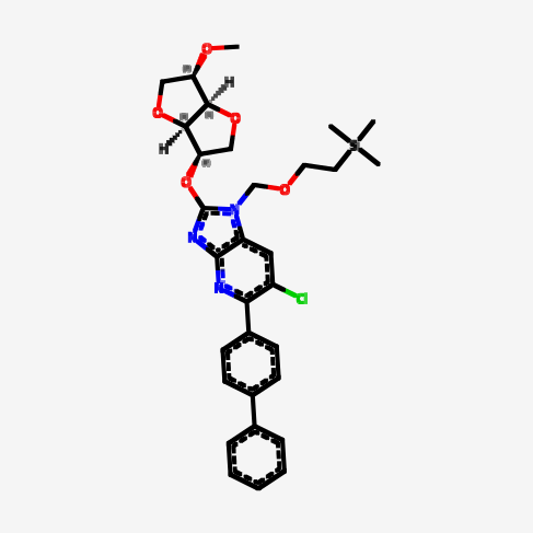 CO[C@@H]1CO[C@H]2[C@@H]1OC[C@H]2Oc1nc2nc(-c3ccc(-c4ccccc4)cc3)c(Cl)cc2n1COCC[Si](C)(C)C